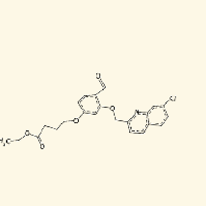 CCOC(=O)CCCOc1ccc(C=O)c(OCc2ccc3ccc(Cl)cc3n2)c1